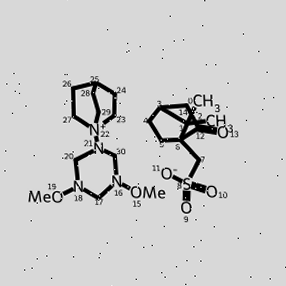 CC1(C)C2CCC1(CS(=O)(=O)[O-])C(=O)C2.CON1CN(OC)CN([N+]23CCC(CC2)CC3)C1